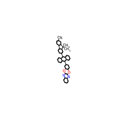 CC1(C)c2cc(C#N)ccc2-c2ccc(-c3c4ccccc4c(-c4ccc5c(c4)Oc4nc6ccccc6nc4O5)c4ccccc34)cc21